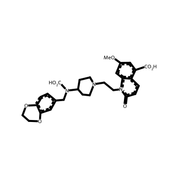 COc1cc(C(=O)O)c2ccc(=O)n(CCN3CCC(N(Cc4ccc5c(c4)OCCO5)C(=O)O)CC3)c2c1